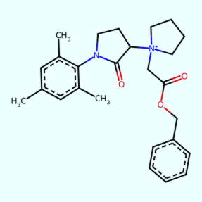 Cc1cc(C)c(N2CCC([N+]3(CC(=O)OCc4ccccc4)CCCC3)C2=O)c(C)c1